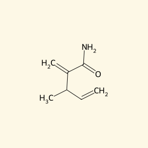 C=CC(C)C(=C)C(N)=O